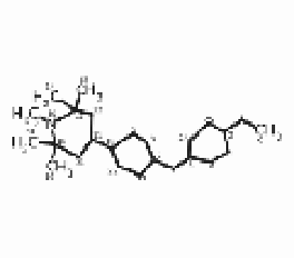 CCC1CCC(CC2CCC(C3CC(C)(C)N(C)C(C)(C)C3)CC2)CC1